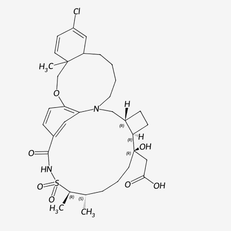 C[C@@H]1[C@@H](C)CCC[C@@](O)(CC(=O)O)[C@@H]2CC[C@H]2CN2CCCCC3C=C(Cl)C=CC3(C)COc3ccc(cc32)C(=O)NS1(=O)=O